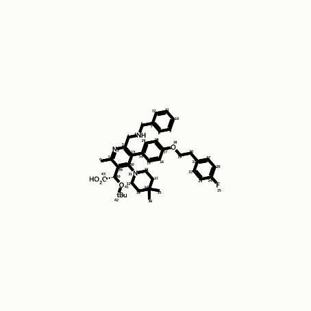 Cc1nc(CNCc2ccccc2)c(-c2ccc(OCCc3ccc(F)cc3)cc2)c(N2CCC(C)(C)CC2)c1[C@H](OC(C)(C)C)C(=O)O